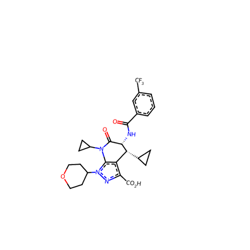 O=C(N[C@H]1C(=O)N(C2CC2)c2c(c(C(=O)O)nn2C2CCOCC2)[C@H]1C1CC1)c1cccc(C(F)(F)F)c1